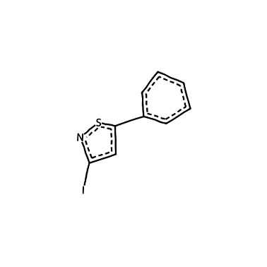 Ic1cc(-c2ccccc2)sn1